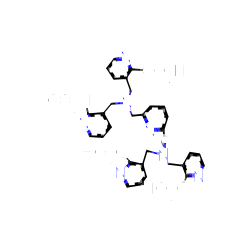 O=C(O)c1ncccc1CN(Cc1cccc(CN(Cc2cccnc2C(=O)O)Cc2cccnc2C(=O)O)n1)Cc1cccnc1C(=O)O